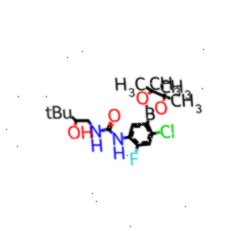 CC(C)(C)C(O)CNC(=O)Nc1cc(B2OC(C)(C)C(C)(C)O2)c(Cl)cc1F